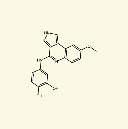 COc1ccc2nc(Nc3ccc(O)c(O)c3)c3n[nH]cc3c2c1